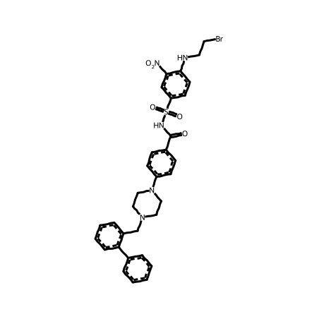 O=C(NS(=O)(=O)c1ccc(NCCBr)c([N+](=O)[O-])c1)c1ccc(N2CCN(Cc3ccccc3-c3ccccc3)CC2)cc1